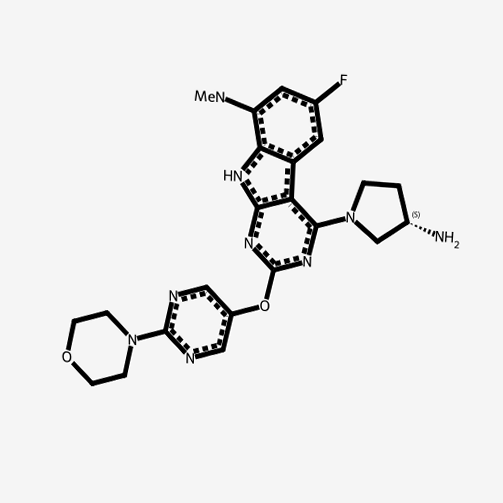 CNc1cc(F)cc2c1[nH]c1nc(Oc3cnc(N4CCOCC4)nc3)nc(N3CC[C@H](N)C3)c12